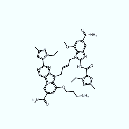 CCn1nc(C)cc1C(=O)Nc1nc2cc(C(N)=O)cc(OC)c2n1C/C=C/Cn1c2nc(-c3cc(C)nn3CC)ncc2c2cc(C(N)=O)cc(OCCCN)c21